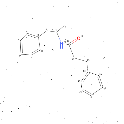 CC(Cc1ccccc1)NC(=O)CCc1ccccc1